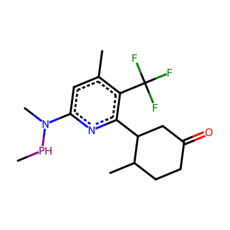 CPN(C)c1cc(C)c(C(F)(F)F)c(C2CC(=O)CCC2C)n1